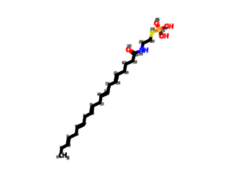 CCC=CCC=CCC=CCC=CCC=CCCCC(=O)NCCSP(=O)(O)O